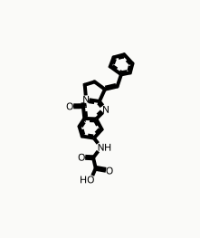 O=C(O)C(=O)Nc1ccc2c(=O)n3c(nc2c1)/C(=C/c1ccccc1)CC3